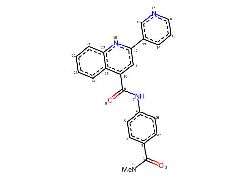 CNC(=O)c1ccc(NC(=O)c2cc(-c3cccnc3)nc3ccccc23)cc1